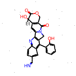 CCC1(O)C(=O)OCc2c1cc1n(c2=O)Cc2c-1nc1ccc(C=N)cc1c2-c1ccccc1O